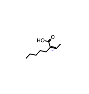 C/C=C(/CCCCC)C(=O)O